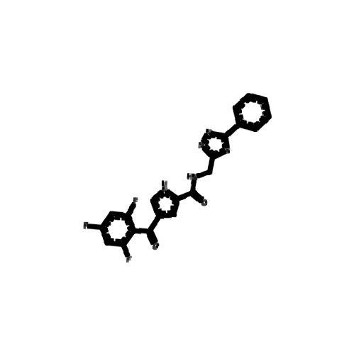 O=C(NCc1nnc(-c2ccccc2)s1)c1cc(C(=O)c2c(F)cc(F)cc2F)c[nH]1